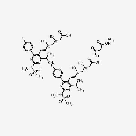 CC(C)c1nc(N(C)S(C)(=O)=O)nc(-c2ccc(F)cc2)c1C=C[C@@H](O)C[C@@H](O)CC(=O)O.CC(C)c1nc(N(C)S(C)(=O)=O)nc(-c2ccc(F)cc2)c1C=C[C@@H](O)C[C@@H](O)CC(=O)O.O=C(O)CC(=O)O.[CaH2]